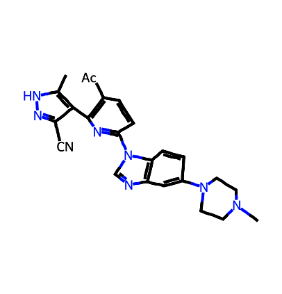 CC(=O)c1ccc(-n2cnc3cc(N4CCN(C)CC4)ccc32)nc1-c1c(C#N)n[nH]c1C